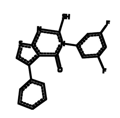 O=c1c2c(-c3ccccc3)csc2nc(S)n1-c1cc(F)cc(F)c1